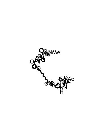 CNC(C)C(=O)N[C@H](C(=O)N1CCCC1c1nc(C(=O)c2cccc(OCCCCCCCCC(=O)N3CCN(c4ccc(Nc5ncc6c(C)c(C(C)=O)c(=O)n(C7CCCC7)c6n5)nc4)CC3)c2)cs1)C1CCCCC1